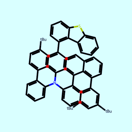 CC(C)(C)c1ccc(-c2ccccc2N(c2ccc(-c3cccc4sc5ccccc5c34)cc2)c2ccccc2-c2cccc3cccc(-c4cc(C(C)(C)C)cc(C(C)(C)C)c4)c23)cc1